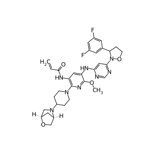 C=CC(=O)Nc1cc(Nc2cc(N3OCCC3c3cc(F)cc(F)c3)ncn2)c(OC)nc1N1CCC(N2C[C@H]3C[C@@H]2CO3)CC1